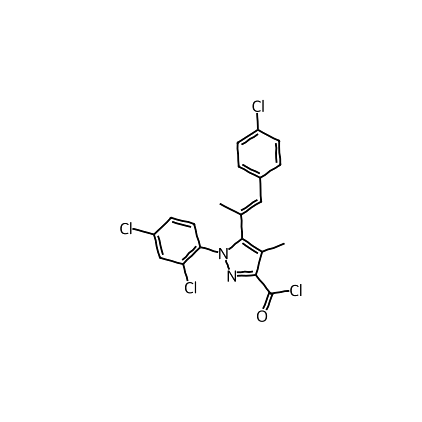 CC(=Cc1ccc(Cl)cc1)c1c(C)c(C(=O)Cl)nn1-c1ccc(Cl)cc1Cl